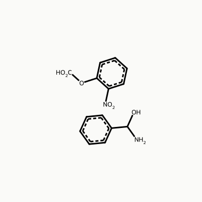 NC(O)c1ccccc1.O=C(O)Oc1ccccc1[N+](=O)[O-]